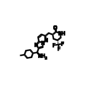 CC1CCC([C@H](N)c2cn3nc(CC4C[C@@H](C(F)(F)F)CNC4=O)ccc3n2)CC1